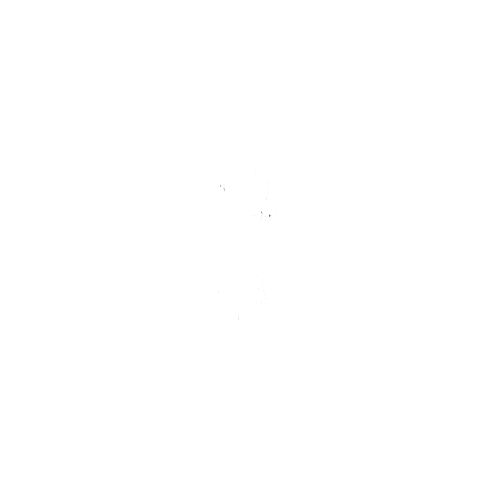 c1cc(CC2=NCCN2)co1